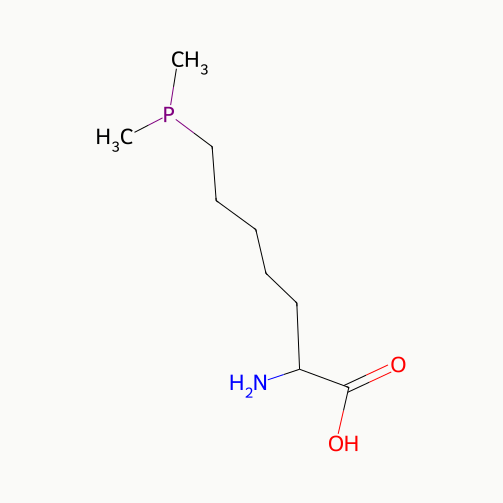 CP(C)CCCCCC(N)C(=O)O